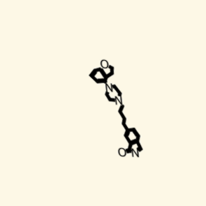 O=C1N=Cc2ccc(CCCCN3CCN(c4cccc5c4CCO5)CC3)cc21